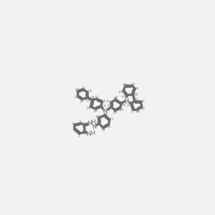 N=C1C=CC=C/C1=N/Nc1cccc(N(c2ccc(-c3ccccc3)cc2)c2ccc(-n3c4ccccc4c4ccccc43)cc2)c1